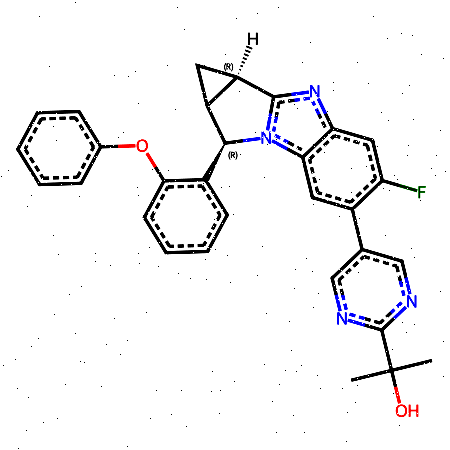 CC(C)(O)c1ncc(-c2cc3c(cc2F)nc2n3[C@@H](c3ccccc3Oc3ccccc3)C3C[C@@H]23)cn1